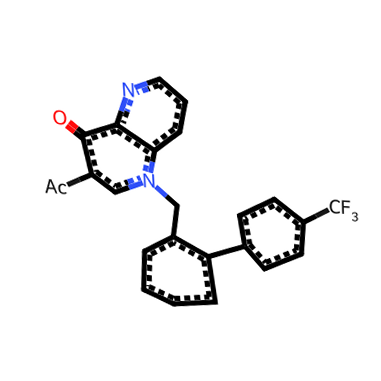 CC(=O)c1cn(Cc2ccccc2-c2ccc(C(F)(F)F)cc2)c2cccnc2c1=O